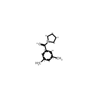 Cc1cc(C)cc(C(=O)N2CCCC2)c1